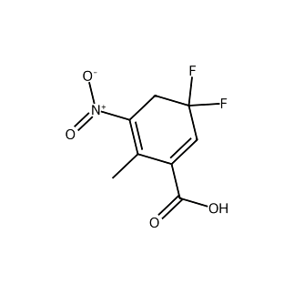 CC1=C([N+](=O)[O-])CC(F)(F)C=C1C(=O)O